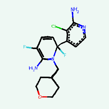 NC1=C(F)C=CC(F)(c2ccnc(N)c2Cl)N1CC1CCOCC1